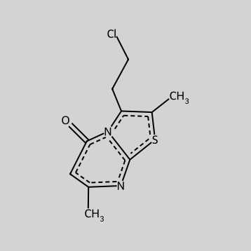 Cc1cc(=O)n2c(CCCl)c(C)sc2n1